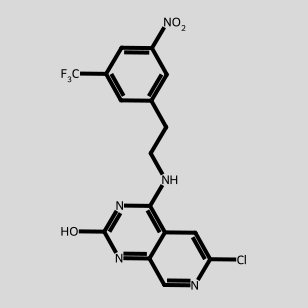 O=[N+]([O-])c1cc(CCNc2nc(O)nc3cnc(Cl)cc23)cc(C(F)(F)F)c1